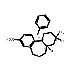 O=C(O)c1ccc2c(c1)CCC[C@H]1C[C@](O)(C(F)(F)F)CC[C@]21Cc1ccccc1